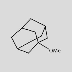 COC12CC3CC(CC(C3)C1)C2